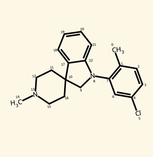 Cc1ccc(Cl)cc1N1CC2(CCN(C)CC2)c2ccccc21